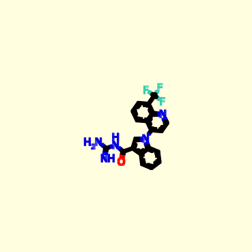 N=C(N)NC(=O)c1cn(-c2ccnc3c(C(F)(F)F)cccc23)c2ccccc12